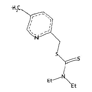 [CH2]c1ccc(CSC(=S)N(CC)CC)nc1